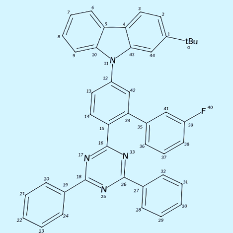 CC(C)(C)c1ccc2c3ccccc3n(-c3ccc(-c4nc(-c5ccccc5)nc(-c5ccccc5)n4)c(-c4cccc(F)c4)c3)c2c1